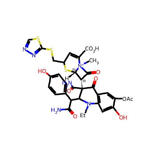 CCN1c2cc(O)c(OC(C)=O)cc2C(=O)C(C(N)=O)([C@H]2C(=O)[N+]3(C)C(C(=O)O)=CC(CSc4nncs4)S[C@@H]23)C1C(C(N)=O)c1ccc(O)cc1